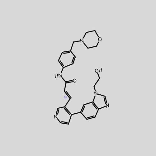 O=C(/C=C/c1cnccc1-c1ccc2ncn(CCO)c2c1)Nc1ccc(CN2CCOCC2)cc1